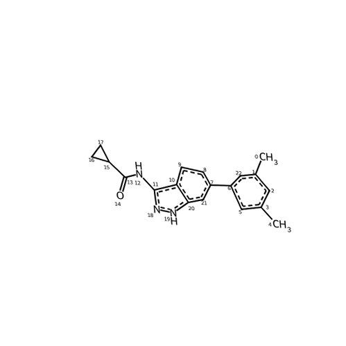 Cc1cc(C)cc(-c2ccc3c(NC(=O)C4CC4)n[nH]c3c2)c1